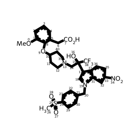 COc1cccc(CC(=O)O)c1OC1CCN(CC(O)(c2cn(Cc3ccc(S(C)(=O)=O)cc3)c3cc([N+](=O)[O-])ccc23)C(F)(F)F)CC1